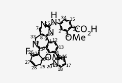 COc1cc(Nc2ncc3c(n2)-c2ccc(-c4cccn4C)cc2C(C2=C(F)C=CCC2OC)=NC3)ccc1C(=O)O